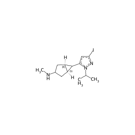 CNC1C[C@@H]2C(c3cc(I)nn3C(C)C)[C@@H]2C1